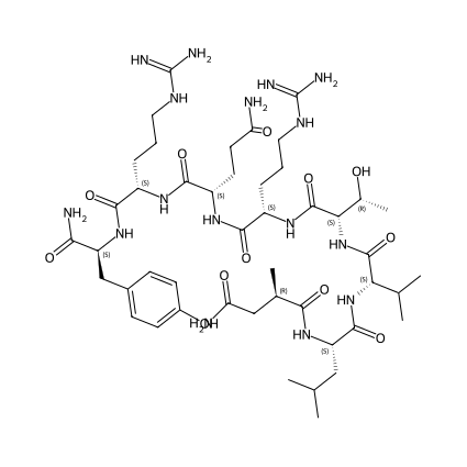 CC(C)C[C@H](NC(=O)[C@H](C)CC(N)=O)C(=O)N[C@H](C(=O)N[C@H](C(=O)N[C@@H](CCCNC(=N)N)C(=O)N[C@@H](CCC(N)=O)C(=O)N[C@@H](CCCNC(=N)N)C(=O)N[C@@H](Cc1ccc(O)cc1)C(N)=O)[C@@H](C)O)C(C)C